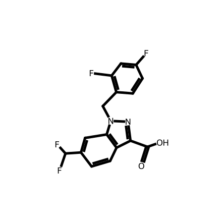 O=C(O)c1nn(Cc2ccc(F)cc2F)c2cc(C(F)F)ccc12